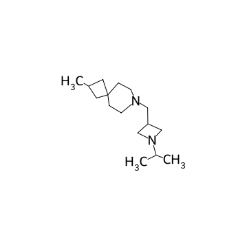 CC1CC2(CCN(CC3CN(C(C)C)C3)CC2)C1